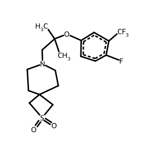 CC(C)(CN1CCC2(CC1)CS(=O)(=O)C2)Oc1ccc(F)c(C(F)(F)F)c1